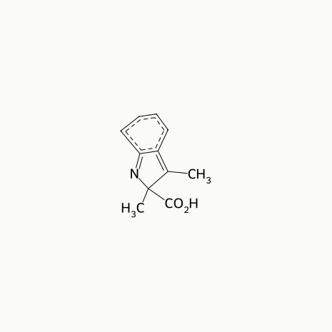 CC1=c2ccccc2=NC1(C)C(=O)O